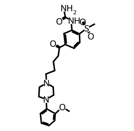 COc1ccccc1N1CCN(CCCCC(=O)c2ccc(S(C)(=O)=O)c(NC(N)=O)c2)CC1